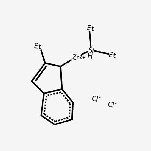 CCC1=Cc2ccccc2[CH]1[Zr+2][SiH](CC)CC.[Cl-].[Cl-]